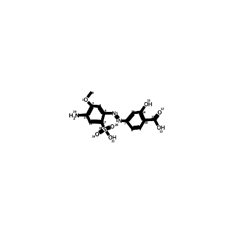 COc1cc(N=Nc2ccc(C(=O)O)c(O)c2)c(S(=O)(=O)O)cc1N